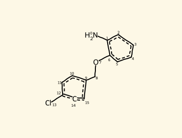 Nc1ccccc1OCc1ccc(Cl)cc1